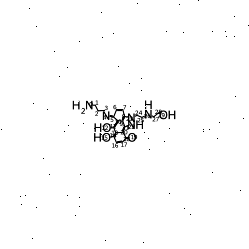 NCCCN=c1ccc2c3c1c(O)c1c(O)ccc(=O)c1c3[nH]n2CCNCCO